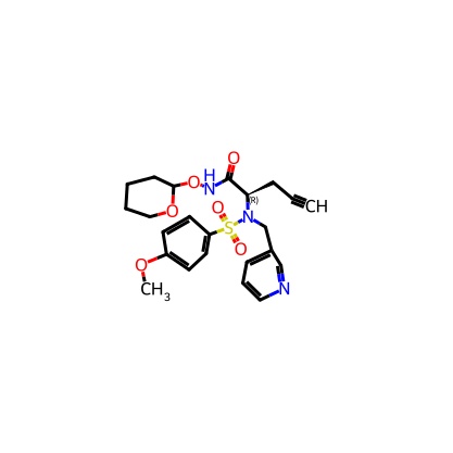 C#CC[C@H](C(=O)NOC1CCCCO1)N(Cc1cccnc1)S(=O)(=O)c1ccc(OC)cc1